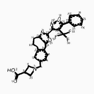 O=C(O)C1CN(Cc2ccc3c(c2)CCc2nc(-c4noc(-c5ccccc5)c4C(F)(F)F)oc2-3)C1